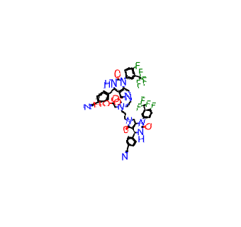 C[N+](CCCN1CC2=C(C1=O)C(c1ccc(C#N)cc1)NC(=O)N2c1ccc(F)c(C(F)(F)F)c1)(CCN1CC2=C(C1=O)C(c1ccc(C#N)cc1)NC(=O)N2c1ccc(F)c(C(F)(F)F)c1)CC(=O)O